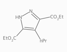 CCCc1c(C(=O)OCC)n[nH]c1C(=O)OCC